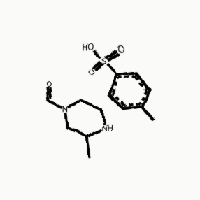 CC1CN(C=O)CCN1.Cc1ccc(S(=O)(=O)O)cc1